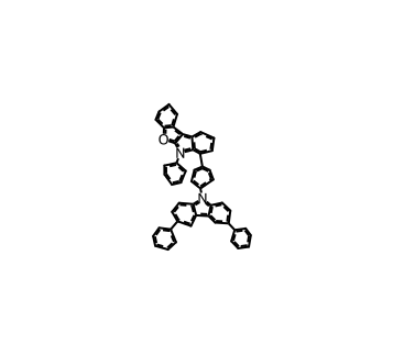 c1ccc(-c2ccc3c(c2)c2cc(-c4ccccc4)ccc2n3-c2ccc(-c3cccc4c5c6ccccc6oc5n(-c5ccccc5)c34)cc2)cc1